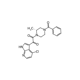 C[C@@H]1CN(C(=O)c2ccccc2)CCN1C(=O)C(=O)c1c[nH]c2nccc(Cl)c12